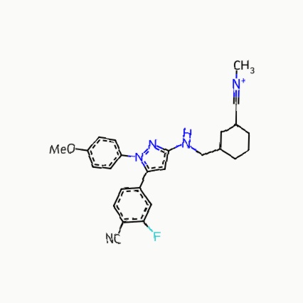 C[N+]#CC1CCCC(CNc2cc(-c3ccc(C#N)c(F)c3)n(-c3ccc(OC)cc3)n2)C1